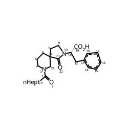 CCCCCCCC(=O)N1CCCC2(CCN([C@@H](Cc3ccccc3)C(=O)O)C2=O)C1